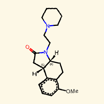 COc1cccc2c1CC[C@@H]1[C@H]2CC(=O)N1CCN1CCCCC1